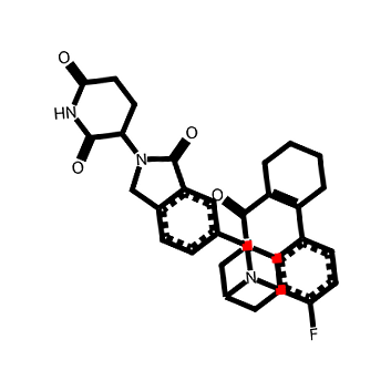 O=C1CCC(N2Cc3ccc(CN4C5CC4CN(C(=O)C4=C(c6ccc(F)cc6)CCCC4)C5)cc3C2=O)C(=O)N1